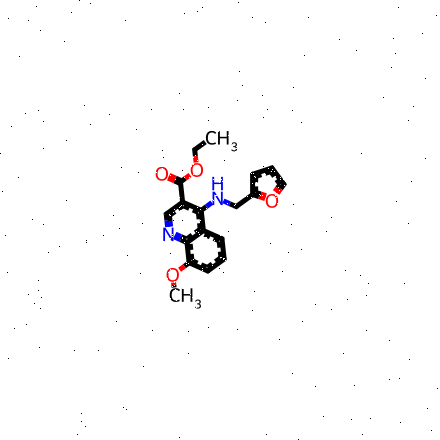 CCOC(=O)c1cnc2c(OC)cccc2c1NCc1ccco1